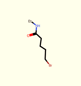 CCNC(=O)CCCCBr